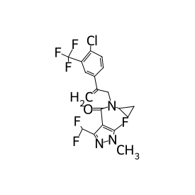 C=C(CN(C(=O)c1c(C(F)F)nn(C)c1F)C1CC1)c1ccc(Cl)c(C(F)(F)F)c1